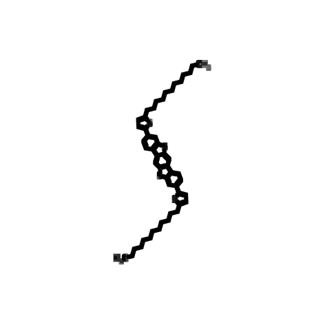 CCCCCCCCCCCCc1ccc(-c2ccc3c(c2)sc2cc4c(cc23)sc2cc(-c3ccc(CCCCCCCCCCCC)s3)ccc24)s1